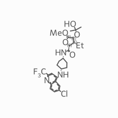 CC[C@H]1[C@@H](OC(C)(C)O)[C@H](OC)O[C@@H]1C(=O)N[C@H]1CC[C@@H](Nc2cc(C(F)(F)F)nc3ccc(Cl)cc23)CC1